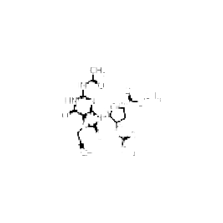 C#CCn1c(=O)n([C@@H]2O[C@H](C(=O)OC)C[C@H]2OC(C)=O)c2nc(NC(C)=O)[nH]c(=O)c21